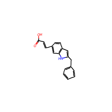 O=C(O)C=Cc1ccc2cc(Cc3ccccc3)[nH]c2c1